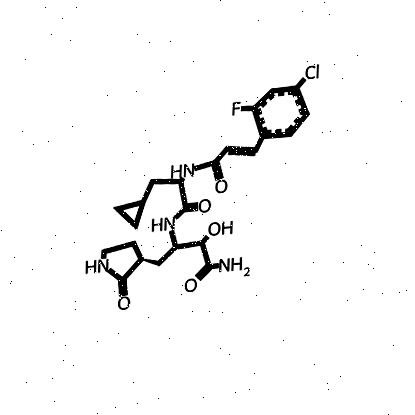 NC(=O)C(O)C(C[C@@H]1CCNC1=O)NC(=O)C(CC1CC1)NC(=O)/C=C/c1ccc(Cl)cc1F